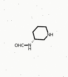 O=CN[C@@H]1CCCNC1